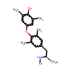 CCN[C@@H](Cc1cc(C)c(Oc2cc(C)c(O)c(C)c2)c(C)c1)C(=O)O